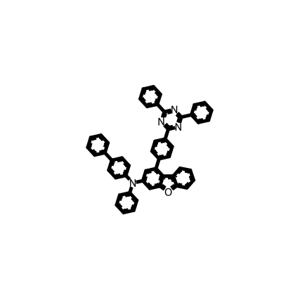 c1ccc(-c2ccc(N(c3ccccc3)c3cc(-c4ccc(-c5nc(-c6ccccc6)nc(-c6ccccc6)n5)cc4)c4c(c3)oc3ccccc34)cc2)cc1